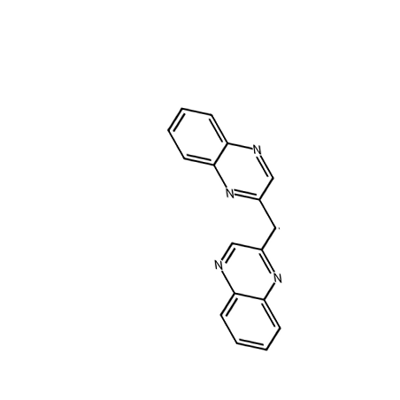 [CH](c1cnc2ccccc2n1)c1cnc2ccccc2n1